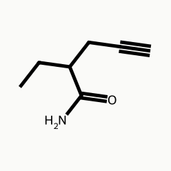 C#CCC(CC)C(N)=O